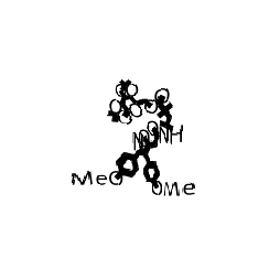 COc1ccc(-c2noc(CC(=O)NC(C)(C)CC(C)(C)C(=O)OCC3OC4OC(C)(C)OC4C4OC(C)(C)OC34)c2-c2ccc(OC)cc2)cc1